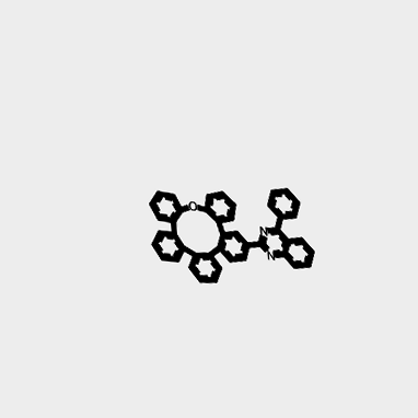 c1ccc(-c2nc(-c3ccc4c(c3)-c3ccccc3Oc3ccccc3-c3ccccc3-c3ccccc3-4)nc3ccccc23)cc1